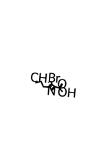 CCCCC1=C(Br)C(C(=O)O)=N1